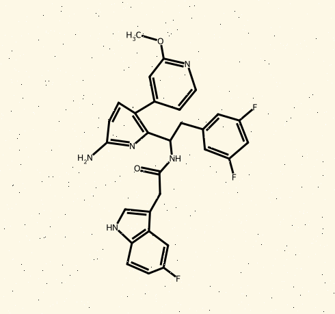 COc1cc(-c2ccc(N)nc2C(Cc2cc(F)cc(F)c2)NC(=O)Cc2c[nH]c3ccc(F)cc23)ccn1